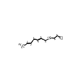 CCCCCCCSCCCl